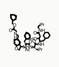 CC(=O)N(C1COc2ccc(CNCC(=O)OCc3ccccc3)cc21)[C@@H](Cc1ccccc1)C(=O)N[C@@H](CC(C)C)C(=O)NC(CC1CCCCC1)C(O)CC(=O)NCC(C)C